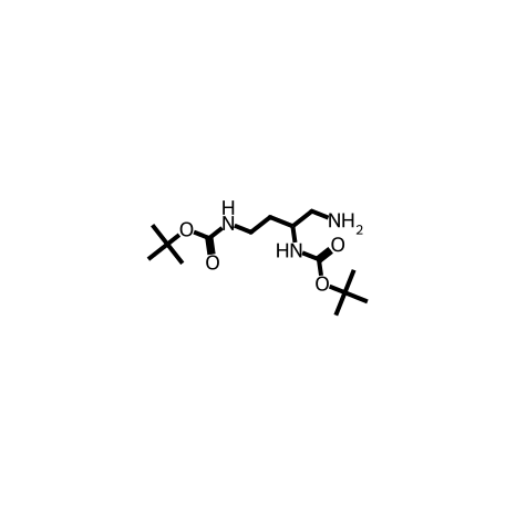 CC(C)(C)OC(=O)NCCC(CN)NC(=O)OC(C)(C)C